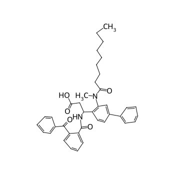 CCCCCCCCC(=O)N(C)c1cc(-c2ccccc2)ccc1C(CC(=O)O)NC(=O)c1ccccc1C(=O)c1ccccc1